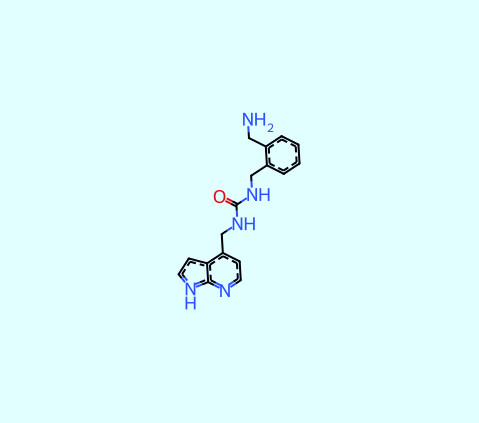 NCc1ccccc1CNC(=O)NCc1ccnc2[nH]ccc12